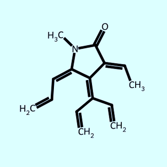 C=C/C=C1\C(=C(C=C)C=C)/C(=C\C)C(=O)N1C